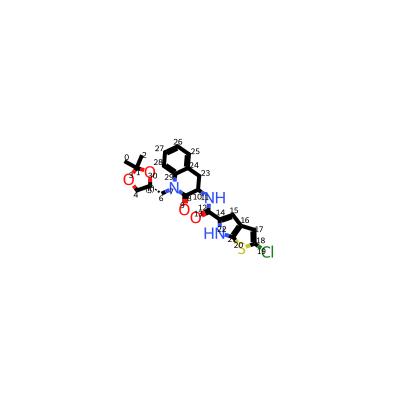 CC1(C)OC[C@@H](CN2C(=O)C(NC(=O)c3cc4cc(Cl)sc4[nH]3)Cc3ccccc32)O1